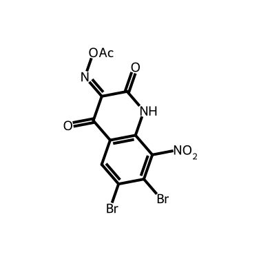 CC(=O)ON=C1C(=O)Nc2c(cc(Br)c(Br)c2[N+](=O)[O-])C1=O